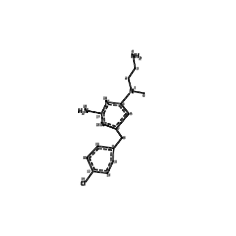 CN(CCN)c1cc(Cc2ccc(Cl)cc2)nc(N)n1